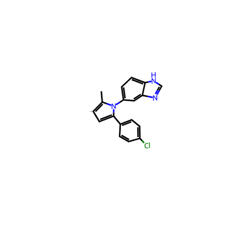 Cc1[c]cc(-c2ccc(Cl)cc2)n1-c1ccc2[nH]cnc2c1